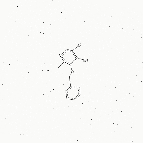 Cc1ncc(Br)c(O)c1OCc1ccccc1